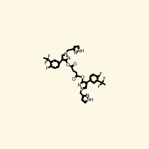 CC(F)(F)c1cc(-c2cn(Cc3cc[nH]n3)nc2OC(=O)CCC(=O)Oc2nn(Cc3cc[nH]n3)cc2-c2ccc(F)c(C(C)(F)F)c2)ccc1F